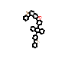 c1ccc2c(c1)sc1cc(-c3c4ccccc4c(-c4ccc5oc6cc7ccc8sc9ccccc9c8c7cc6c5c4)c4ccccc34)ccc12